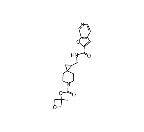 CC1(OC(=O)N2CCC3(CC2)CC3CNC(=O)c2cc3ccncc3o2)COC1